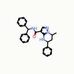 CC1CC(c2ccccc2)Nc2c(C(=O)NC(c3ccccc3)c3ccccc3)cnn21